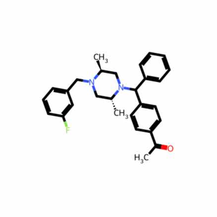 CC(=O)c1ccc(C(c2ccccc2)N2C[C@H](C)N(Cc3cccc(F)c3)C[C@H]2C)cc1